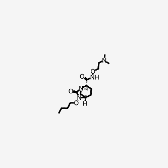 CCCCON1C(=O)N2C[C@@H]1CC[C@H]2C(=O)NOCCN(C)C